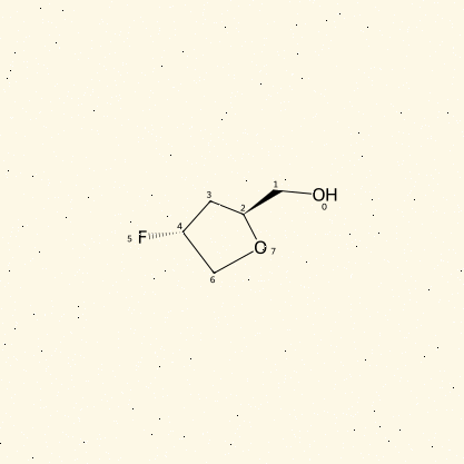 OC[C@@H]1C[C@@H](F)CO1